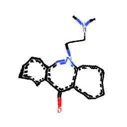 CN(C)CCn1c2ccccc2c(=O)c2ccccc21